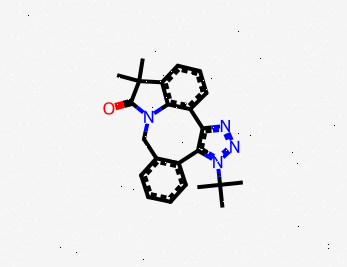 CC1(C)C(=O)N2Cc3ccccc3-c3c(nnn3C(C)(C)C)-c3cccc1c32